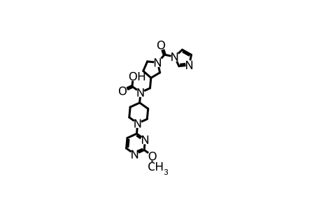 COc1nccc(N2CCC(N(CC3CCN(C(=O)n4ccnc4)C3)C(=O)O)CC2)n1